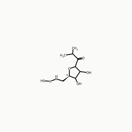 CC(C)C(=O)C1O[C@H](CNSS)C(O)C1O